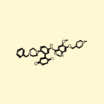 COc1cc2c(Nc3ccc(N4CCN(Cc5ccccc5)CC4)c(C4=CC(=O)C=CC4=O)c3)ncnc2cc1OCC1CCN(C)CC1